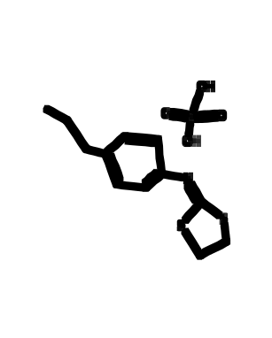 CCCc1ccc(N=C2SCCS2)cc1.O=S(=O)(O)O